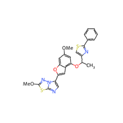 COc1cc(OC(C)c2csc(-c3ccccc3)n2)c2cc(-c3cnc4sc(OC)nn34)oc2c1